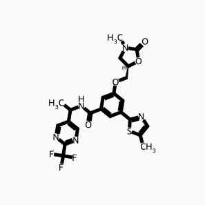 Cc1cnc(-c2cc(OC[C@H]3CN(C)C(=O)O3)cc(C(=O)NC(C)c3cnc(C(F)(F)F)nc3)c2)s1